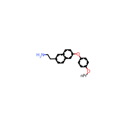 CCCOc1ccc(Oc2ccc3cc(CCN)ccc3c2)cc1